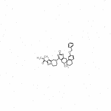 CN(C)C(=O)c1cc2n(n1)CCCN(c1nc(Cl)nc3c1CN(C)C1(CCCc4ccc(OCc5ccccc5)cc41)C3)C2